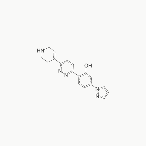 Oc1cc(-n2cccn2)ccc1-c1ccc(C2=CCNCC2)nn1